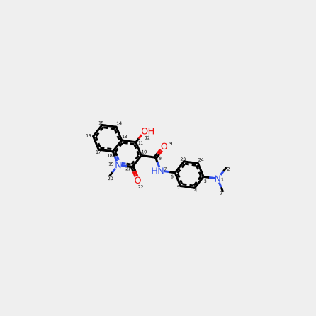 CN(C)c1ccc(NC(=O)c2c(O)c3ccccc3n(C)c2=O)cc1